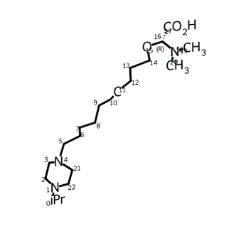 CC(C)N1CCN(CCCCCCCCCCO[C@H](C(=O)O)N(C)C)CC1